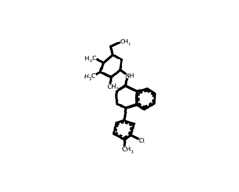 CCC1CC(NC2CCC(c3ccc(C)c(Cl)c3)c3ccccc32)C(C)C(C)C1C